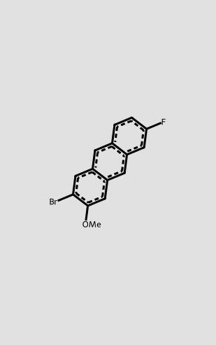 COc1cc2cc3cc(F)ccc3cc2cc1Br